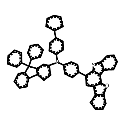 c1ccc(-c2ccc(N(c3ccc(-c4cc5c6ccccc6oc5c5c4sc4ccccc45)cc3)c3ccc4c(c3)C(c3ccccc3)(c3ccccc3)c3ccccc3-4)cc2)cc1